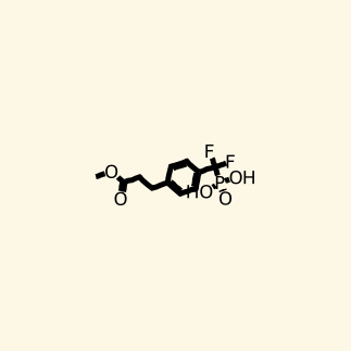 COC(=O)CCc1ccc(C(F)(F)P(=O)(O)O)cc1